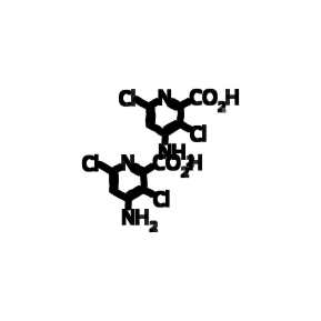 Nc1cc(Cl)nc(C(=O)O)c1Cl.Nc1cc(Cl)nc(C(=O)O)c1Cl